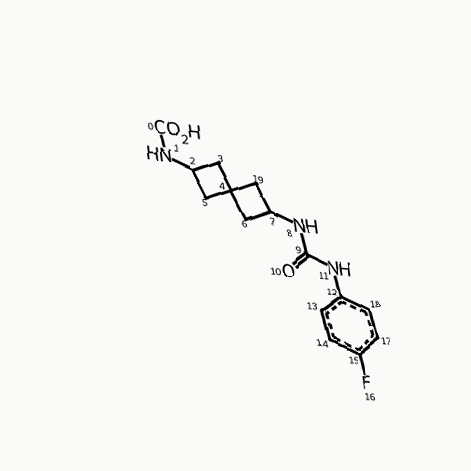 O=C(O)NC1CC2(C1)CC(NC(=O)Nc1ccc(F)cc1)C2